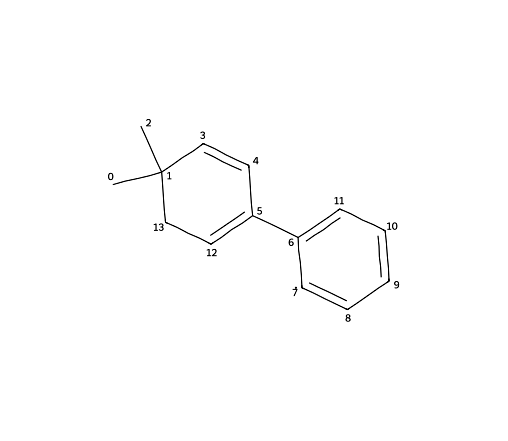 CC1(C)C=CC(c2[c]cccc2)=CC1